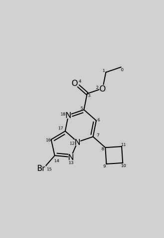 CCOC(=O)c1cc(C2CCC2)n2nc(Br)cc2n1